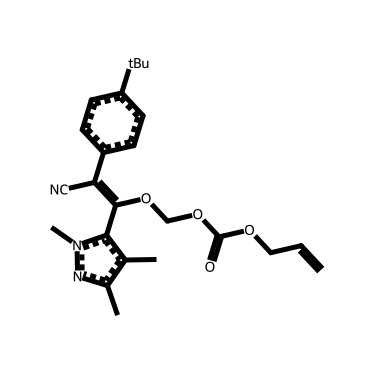 C=CCOC(=O)OCO/C(=C(/C#N)c1ccc(C(C)(C)C)cc1)c1c(C)c(C)nn1C